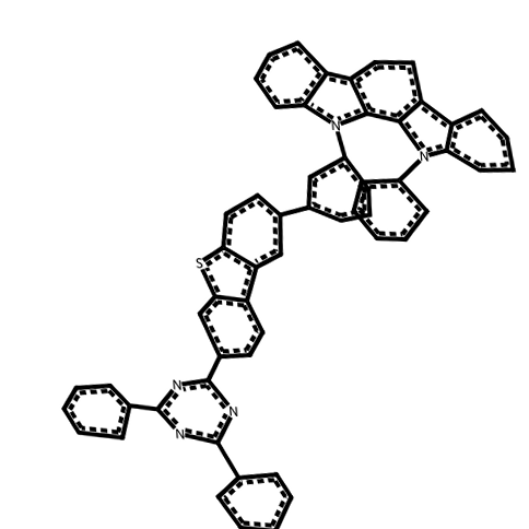 c1ccc(-c2nc(-c3ccccc3)nc(-c3ccc4c(c3)sc3ccc(-c5cccc(-n6c7ccccc7c7ccc8c9ccccc9n(-c9ccccc9)c8c76)c5)cc34)n2)cc1